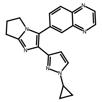 c1cnc2cc(-c3c(-c4ccn(C5CC5)n4)nc4n3CCC4)ccc2n1